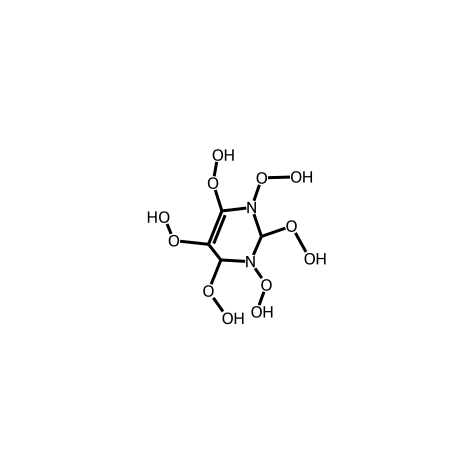 OOC1=C(OO)N(OO)C(OO)N(OO)C1OO